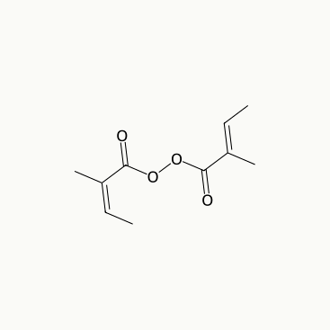 CC=C(C)C(=O)OOC(=O)C(C)=CC